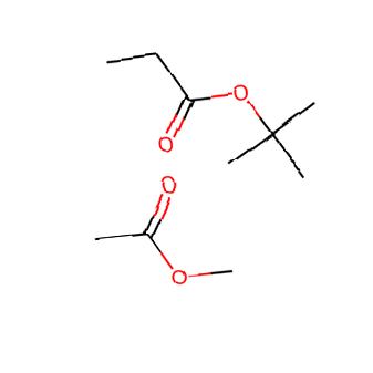 CCC(=O)OC(C)(C)C.COC(C)=O